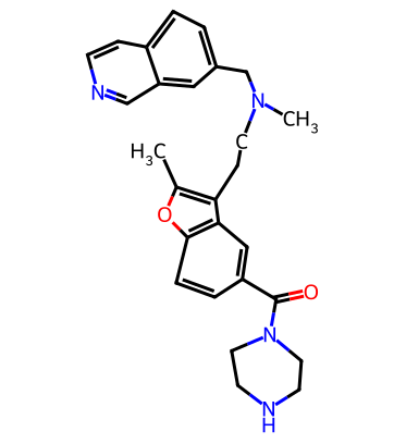 Cc1oc2ccc(C(=O)N3CCNCC3)cc2c1CCN(C)Cc1ccc2ccncc2c1